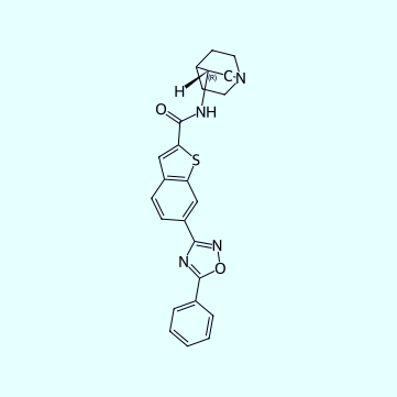 O=C(N[C@H]1CN2CCC1CC2)c1cc2ccc(-c3noc(-c4ccccc4)n3)cc2s1